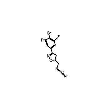 [N-]=[N+]=NCC1CC(c2cc(F)c(Br)c(F)c2)=NO1